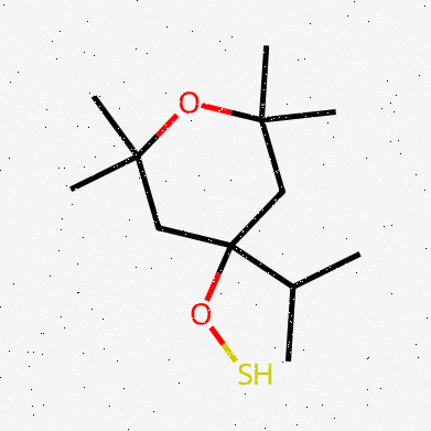 CC(C)C1(OS)CC(C)(C)OC(C)(C)C1